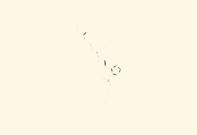 CCCCC[C@@H](O)c1sccc1/C=C/[C@@H](O)[C@@H](O)CCCC(=O)OC